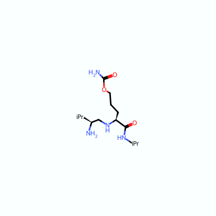 CC(C)NC(=O)[C@H](CCCOC(N)=O)NC[C@@H](N)C(C)C